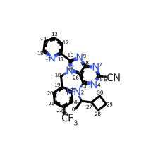 CC(Nc1nc(C#N)nc2nc(-c3ccccn3)n(Cc3ccc(C(F)(F)F)cc3)c12)C1CCC1